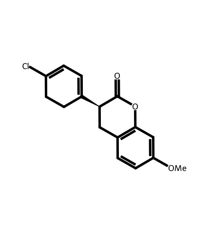 COc1ccc2c(c1)OC(=O)[C@H](C1=CC=C(Cl)CC1)C2